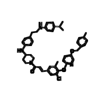 Cc1ccc(COc2ccc(Oc3c(C)cc(C=CC(=O)N4CCC(Nc5ccc(CCNc6ccc(C(C)C)cc6)cc5)CC4)cc3Cl)nc2)cc1